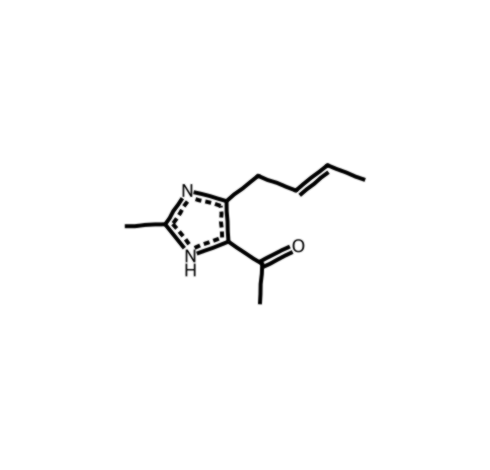 CC=CCc1nc(C)[nH]c1C(C)=O